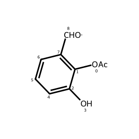 CC(=O)Oc1c(O)cccc1[C]=O